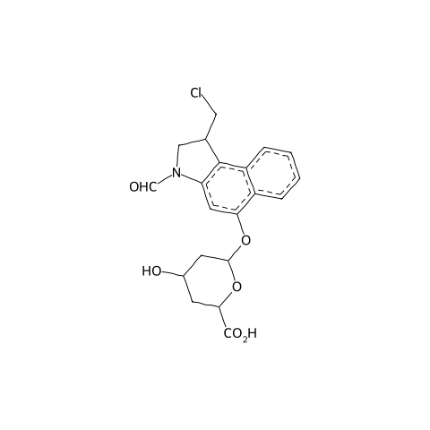 O=CN1CC(CCl)c2c1cc(OC1CC(O)CC(C(=O)O)O1)c1ccccc21